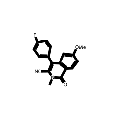 COc1ccc2c(=O)n(C)c(C#N)c(-c3ccc(F)cc3)c2c1